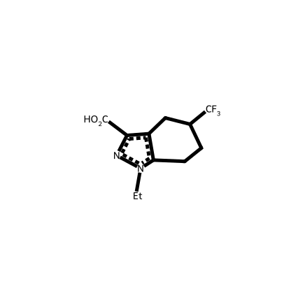 CCn1nc(C(=O)O)c2c1CCC(C(F)(F)F)C2